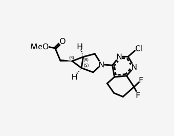 COC(=O)C[C@H]1[C@H]2CN(c3nc(Cl)nc4c3CCCC4(F)F)C[C@@H]12